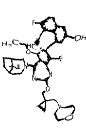 C#Cc1c(F)ccc2cc(O)cc(-c3nc(OCC)c4c(N5CC6CCC(C5)N6)nc(OCC5(CN6CCOCC6)CC5)nc4c3F)c12